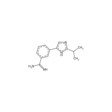 CC(C)c1ncc(-c2cccc(C(=N)N)c2)[nH]1